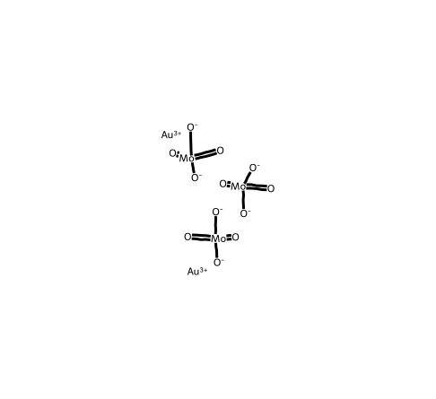 [Au+3].[Au+3].[O]=[Mo](=[O])([O-])[O-].[O]=[Mo](=[O])([O-])[O-].[O]=[Mo](=[O])([O-])[O-]